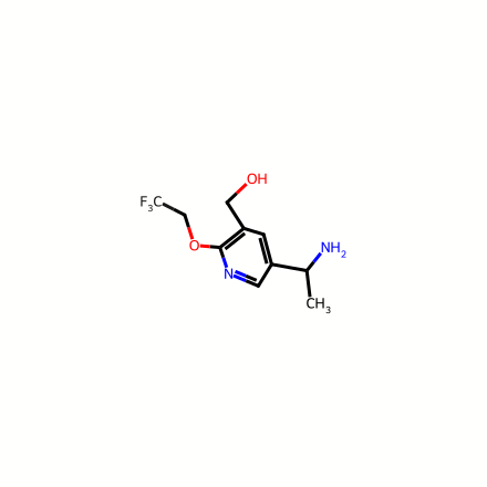 CC(N)c1cnc(OCC(F)(F)F)c(CO)c1